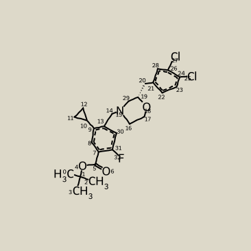 CC(C)(C)OC(=O)c1cc(C2CC2)c(CN2CCO[C@@H](Cc3ccc(Cl)c(Cl)c3)C2)cc1F